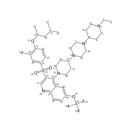 CCN1CCC(N2CCN(C3CCN(c4c(S(=O)(=O)c5ccc(OC(C)CC(C)C)c(F)c5)cnc5ccc(OC(F)(F)F)cc45)CC3)CC2)CC1